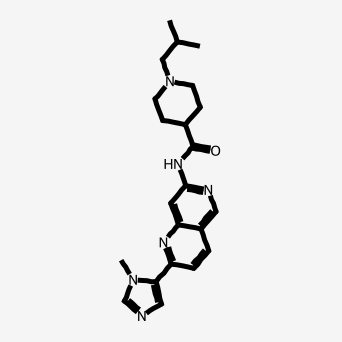 CC(C)CN1CCC(C(=O)Nc2cc3nc(-c4cncn4C)ccc3cn2)CC1